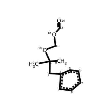 CC(C)(Cc1ccccc1)OCOC=O